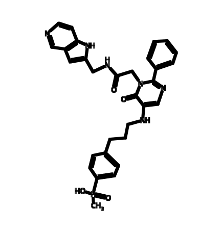 CP(=O)(O)c1ccc(CCCNc2cnc(-c3ccccc3)n(CC(=O)NCc3cc4cnccc4[nH]3)c2=O)cc1